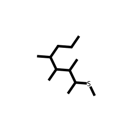 CCCC(C)C(C)C(C)C(C)SC